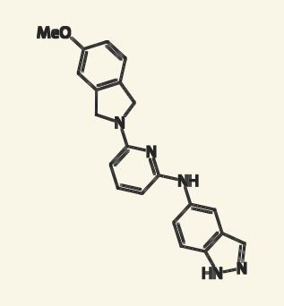 COc1ccc2c(c1)CN(c1cccc(Nc3ccc4[nH]ncc4c3)n1)C2